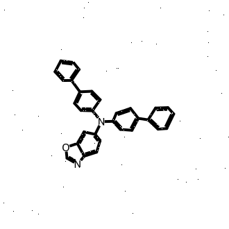 c1ccc(-c2ccc(N(c3ccc(-c4ccccc4)cc3)c3ccc4ncoc4c3)cc2)cc1